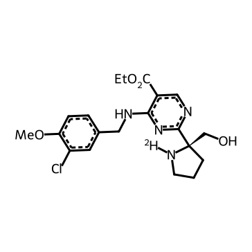 [2H]N1CCC[C@@]1(CO)c1ncc(C(=O)OCC)c(NCc2ccc(OC)c(Cl)c2)n1